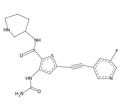 NC(=O)Nc1cc(C#Cc2cncc(F)c2)sc1C(=O)NC1CCCNC1